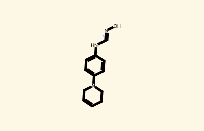 O/N=C/Nc1ccc(N2CC=CCC2)cc1